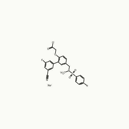 CN(Cc1ccc(OCC(=O)[O-])c(-c2cc(F)cc(C#N)c2)c1)S(=O)(=O)c1ccc(F)cc1.[Na+]